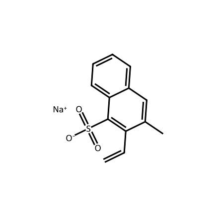 C=Cc1c(C)cc2ccccc2c1S(=O)(=O)[O-].[Na+]